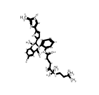 Cc1nc(-c2ccc(C3N(C)c4ccc(F)cc4C(=O)N3c3ccccc3OC(=O)CCC(=O)C(C)(C)OCCC(C)C)s2)cs1